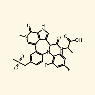 CC(NC(=O)C1c2c[nH]c3c(=O)n(C)cc(c23)-c2cc(CS(C)(=O)=O)ccc2N1c1ccc(F)cc1F)C(=O)O